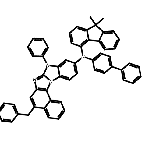 CC1(C)c2ccccc2-c2c(N(c3ccc(-c4ccccc4)cc3)c3ccc4c(c3)n(-c3ccccc3)c3nc5cc(Cc6ccccc6)c6ccccc6c5n43)cccc21